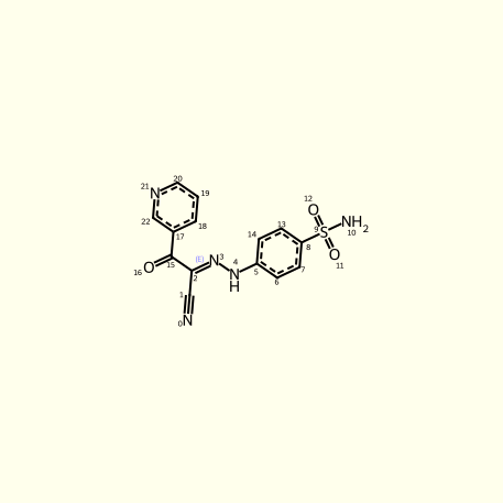 N#C/C(=N\Nc1ccc(S(N)(=O)=O)cc1)C(=O)c1cccnc1